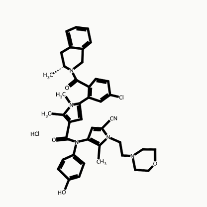 Cc1c(C(=O)N(c2ccc(O)cc2)c2cc(C#N)n(CCN3CCOCC3)c2C)cc(-c2cc(Cl)ccc2C(=O)N2Cc3ccccc3C[C@H]2C)n1C.Cl